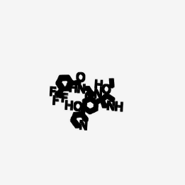 CCO[C@H]1CNC[C@@]1(NC(=O)CNC(=O)c1cccc(C(F)(F)F)c1)C1CCC(O)(c2cccnc2)CC1